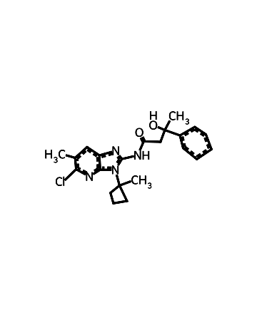 Cc1cc2nc(NC(=O)CC(C)(O)c3ccccc3)n(C3(C)CCC3)c2nc1Cl